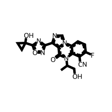 CC(CO)n1c(=O)c2c(-c3noc(C4(O)CC4)n3)ncn2c2ccc(F)c(C#N)c21